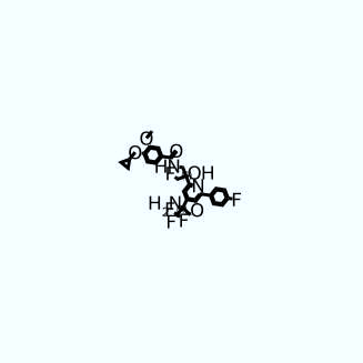 COc1cc(C(=O)NC[C@@](O)(CF)c2cc3c(c(-c4ccc(F)cc4)n2)OC[C@@]3(N)C(F)(F)F)ccc1OC1CC1